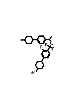 CCCC1CCC(c2ccc(C(F)(F)OC(C)c3ccc(C4CCC(C)CC4)cc3)c(F)c2)CC1